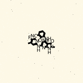 COc1c(C#N)cccc1Nc1cc(Nc2cc(C)c(F)cn2)nc2[nH]n(C)c(=O)c12